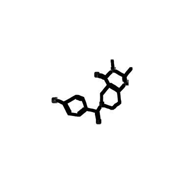 Cc1nc2c(c(=O)n1C)CN(C(=O)c1ccc(Cl)cc1)CC2